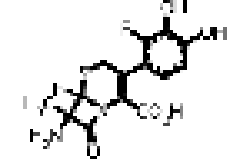 CC1(N)C(=O)N2C(C(=O)O)=C(c3ccc(O)c(O)c3F)CS[C@H]21